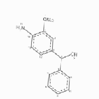 COc1cc(C(O)c2ccccc2)ccc1N